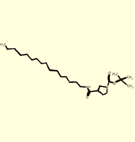 CCCCCCCCCCCCCCCCNC(=O)C1CCN(C(=O)OC(C)(C)C)C1